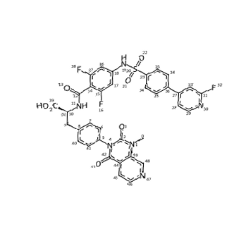 Cn1c(=O)n(-c2ccc(C[C@H](NC(=O)c3c(F)cc(NS(=O)(=O)c4ccc(-c5ccnc(F)c5)cc4)cc3F)C(=O)O)cc2)c(=O)c2ccncc21